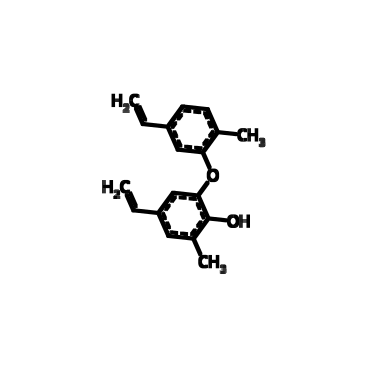 C=Cc1ccc(C)c(Oc2cc(C=C)cc(C)c2O)c1